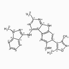 COc1nc2c(cc1-c1c(C)noc1C)[nH]c1nc(C)nc(Nc3nn(C)c4ncccc34)c12